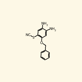 N#CSc1cc(N)c(N)cc1OCc1ccccc1